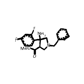 COC(=O)C1CN(Cc2ccccc2)CC1(N)c1ccc(F)cc1F